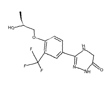 C[C@H](O)COc1ccc(C2=NNC(=O)CN2)cc1C(F)(F)F